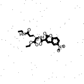 CCNC(=O)CC[C@H](NC(=O)c1cc2cc([N+](=O)[O-])ccc2oc1=O)C(=O)OCC